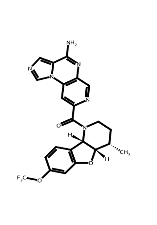 C[C@H]1CCN(C(=O)c2cc3c(cn2)nc(N)c2cncn23)[C@H]2c3ccc(OC(F)(F)F)cc3O[C@@H]12